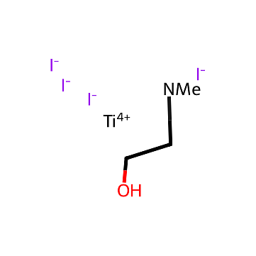 CNCCO.[I-].[I-].[I-].[I-].[Ti+4]